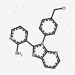 Nc1ncccc1-c1nc2cccnc2n1-c1ccc(CCl)cc1